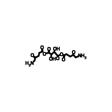 NCC(=O)CCC(=O)OC(=O)C(O)C(O)C(=O)OC(=O)CCC(=O)CN